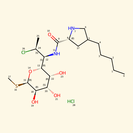 CCCCCC1CN[C@@H](C(=O)N[C@@H]([C@H]2O[C@H](SC)[C@H](O)[C@@H](O)[C@H]2O)[C@H](C)Cl)C1.Cl